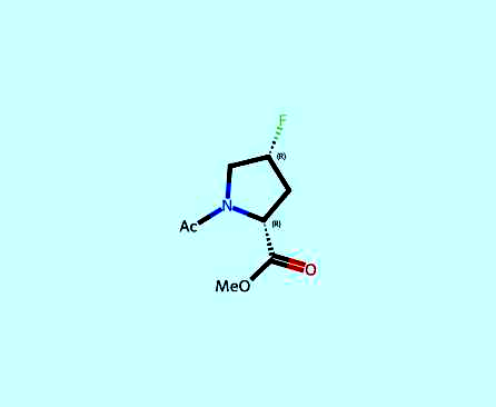 COC(=O)[C@H]1C[C@@H](F)CN1C(C)=O